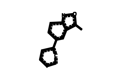 Cc1onc2ccc(-c3cc[c]cc3)cc12